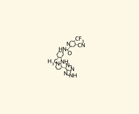 Cc1ccc(NC(=O)c2cc(C#N)c(C(F)(F)F)cn2)cc1Nc1ncccc1-c1ncnc2[nH]cnc12